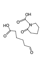 O=C(O)N1CCCCC1=O.O=CCCCCC(=O)O